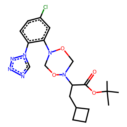 CC(C)(C)OC(=O)C(CC1CCC1)N1CON(c2cc(Cl)ccc2-n2cnnn2)CO1